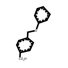 O=C(O)c1ccc(COc2c[c]ccc2)cc1